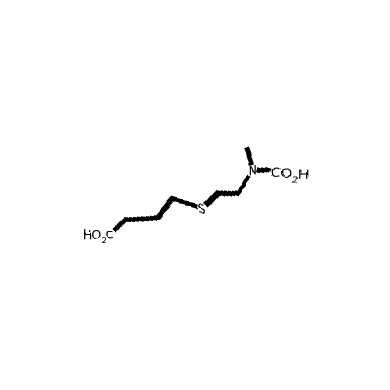 CN(CCSCCCC(=O)O)C(=O)O